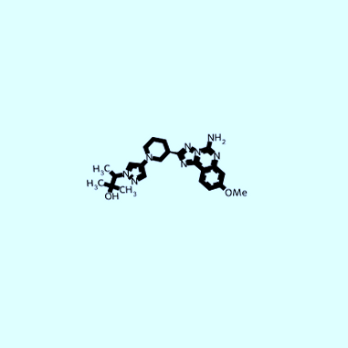 COc1ccc2c(c1)nc(N)n1nc([C@@H]3CCCN(c4cnn(C(C)C(C)(C)O)c4)C3)nc21